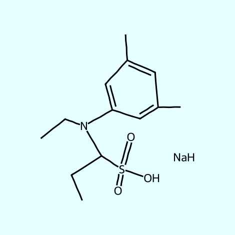 CCC(N(CC)c1cc(C)cc(C)c1)S(=O)(=O)O.[NaH]